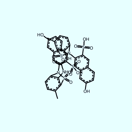 Cc1ccc2c(NC(=O)Nc3c4ccc(C)c3S(=O)(=O)N4c3cc4cc(O)ccc4cc3S(=O)(=O)O)c1S(=O)(=O)N2c1cc2cc(O)ccc2cc1S(=O)(=O)O